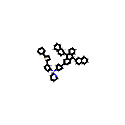 c1ccc(-c2ccc(-c3cccc(N(c4ccc(-c5ccc6c(-c7ccc8ccccc8c7)c7ccccc7c(-c7ccc8ccccc8c7)c6c5)cc4)c4ccccn4)c3)s2)cc1